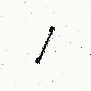 c1cnc2cc(OCCOCCOCCOCCOCCOCCOCCOCCOc3ccc4cccnc4c3)ccc2c1